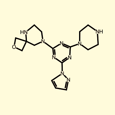 c1cnn(-c2nc(N3CCNCC3)nc(N3CCNC4(COC4)C3)n2)c1